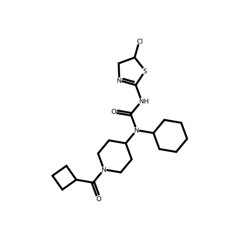 O=C(C1CCC1)N1CCC(N(C(=O)NC2=NCC(Cl)S2)C2CCCCC2)CC1